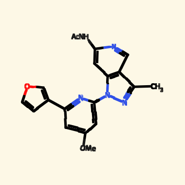 COc1cc(-c2ccoc2)nc(-n2nc(C)c3cnc(NC(C)=O)cc32)c1